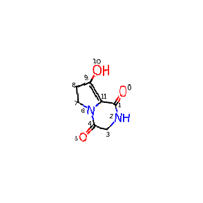 O=C1NCC(=O)N2CCC(O)=C12